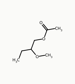 CCC(COC(C)=O)OC